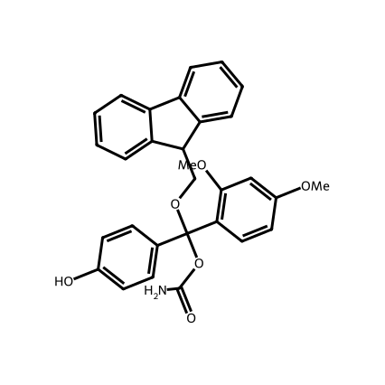 COc1ccc(C(OCC2c3ccccc3-c3ccccc32)(OC(N)=O)c2ccc(O)cc2)c(OC)c1